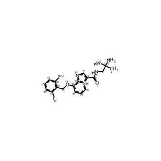 CCCC(C)(N)CNC(=O)c1cnc2c(OCc3c(F)cccc3F)cccn12